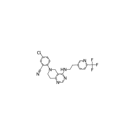 N#Cc1cc(Cl)ccc1N1CCc2ncnc(NCCc3ccc(C(F)(F)F)nc3)c2C1